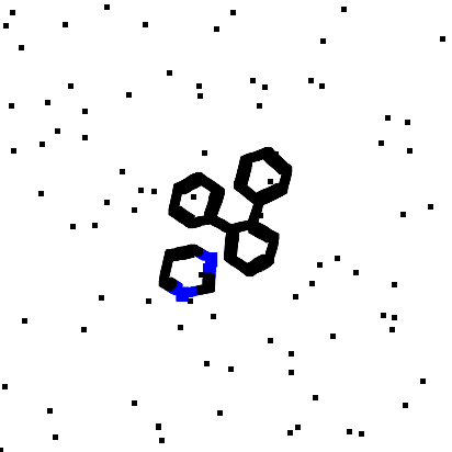 c1ccc(-c2ccccc2-c2ccccc2)cc1.c1cncnc1